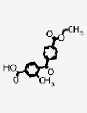 CCOC(=O)c1ccc(C(=O)c2ccc(C(=O)O)cc2C)cc1